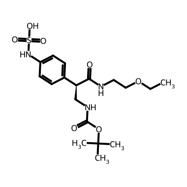 CCOCCNC(=O)[C@@H](CNC(=O)OC(C)(C)C)c1ccc(NS(=O)(=O)O)cc1